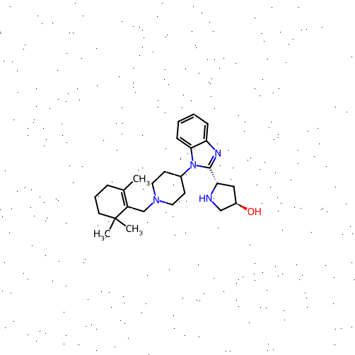 CC1=C(CN2CCC(n3c([C@@H]4C[C@@H](O)CN4)nc4ccccc43)CC2)C(C)(C)CCC1